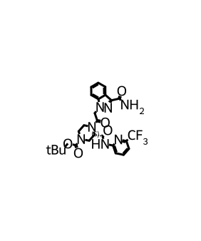 CC(C)(C)OC(=O)N1CCN(C(=O)Cn2nc(C(N)=O)c3ccccc32)[C@H](C(=O)Nc2cccc(C(F)(F)F)n2)C1